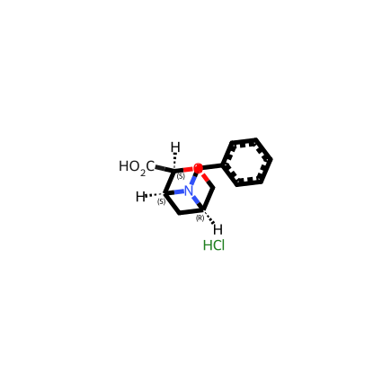 Cl.O=C(O)[C@H]1OC[C@H]2C[C@@H]1N2Cc1ccccc1